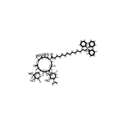 CC[C@H]1OC(=O)[C@H](C)C([C@H]2C[C@@](C)(OC)[C@@H](O)[C@H](C)O2)[C@H](C)[C@@H](O[C@@H]2O[C@H](C)C[C@H](N(C)C)[C@H]2O)[C@](C)(O)C[C@@H](C)CN(C(=O)CCCCCCCCCCCCC[PH](c2ccccc2)(c2ccccc2)c2ccccc2)[C@H](C)[C@@H](O)[C@]1(C)O